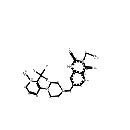 CCn1c(=O)[nH]c2cc(CN3CCN(C4=C(C(F)(F)F)N(C)CC=C4)CC3)cnc2c1=O